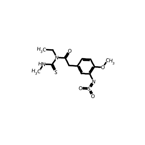 CCN(C(=O)Cc1ccc(OC)c(N=S(=O)=O)c1)C(=S)NC